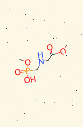 COC(=O)CNCP(=O)(O)OC